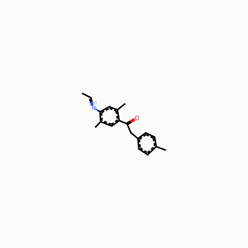 C/C=N/c1cc(C)c(C(=O)Cc2ccc(C)cc2)cc1C